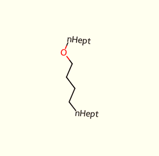 CCCCCCCCCCCOCCCCCCC